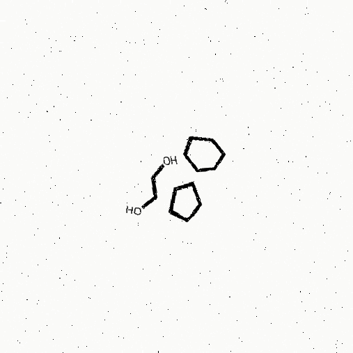 C1CCCC1.C1CCCCC1.OCCO